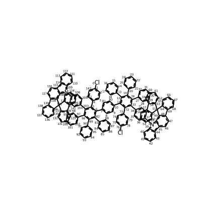 Clc1ccc(-c2c(-c3ccc(-c4c(-c5ccccc5)c(-c5ccccc5)c(-c5ccccc5)c(-c5ccc(-n6c7ccccc7c7ccc8c(c76)C6(c7ccccc7-c7ccccc76)c6ccccc6-8)cc5)c4-c4ccc(Cl)cc4)cc3)c(-c3ccccc3)c(-c3ccccc3)c(-c3ccccc3)c2-c2ccc(-n3c4ccccc4c4ccc5c(c43)C3(c4ccccc4-c4ccccc43)c3ccccc3-5)cc2)cc1